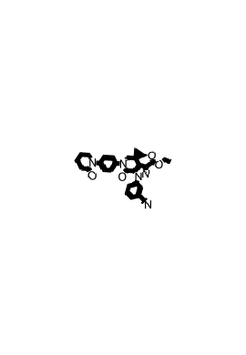 CCOC(=O)c1nn(-c2cccc(C#N)c2)c2c1C1(CC1)CN(c1ccc(N3CCCCC3=O)cc1)C2=O